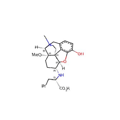 CO[C@@]12CC[C@@H](N[C@@H](CC(C)C)C(=O)O)[C@@H]3Oc4c(O)ccc5c4[C@@]31CCN(C)[C@@H]2C5